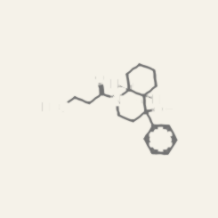 CCCC(=O)N1CCC(O)(c2ccccc2)[C@H]2CCCC[C@H]21